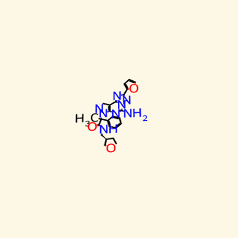 CC(C(=O)NC[C@H]1CCOC1)(c1ccccc1)n1ncc2c1nc(N)n1nc(-c3ccco3)nc21